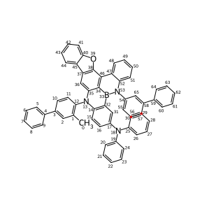 Cc1cc(-c2ccccc2)ccc1N1c2ccc(N(c3ccccc3)c3ccccc3)cc2B2c3c1cc1c(oc4ccccc41)c3-c1ccccc1N2c1cccc(-c2ccccc2)c1